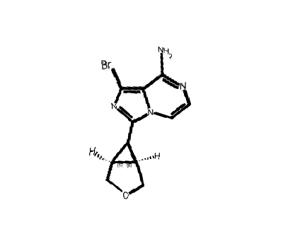 Nc1nccn2c(C3[C@H]4COC[C@@H]34)nc(Br)c12